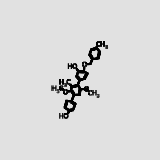 COc1cc(-c2ccc(O)cc2)c(OC)c(C)c1-c1ccc(OCc2ccc(C)cc2)c(O)c1